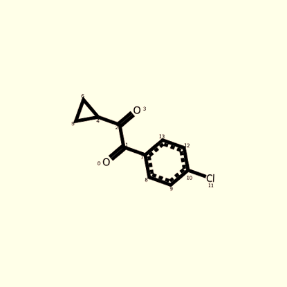 O=C(C(=O)C1CC1)c1ccc(Cl)cc1